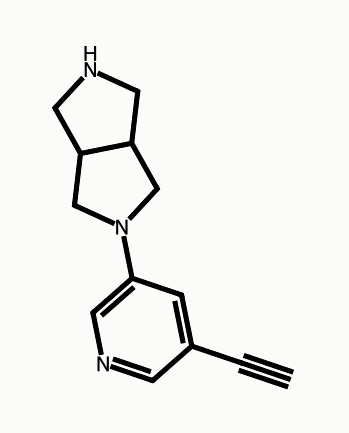 C#Cc1cncc(N2CC3CNCC3C2)c1